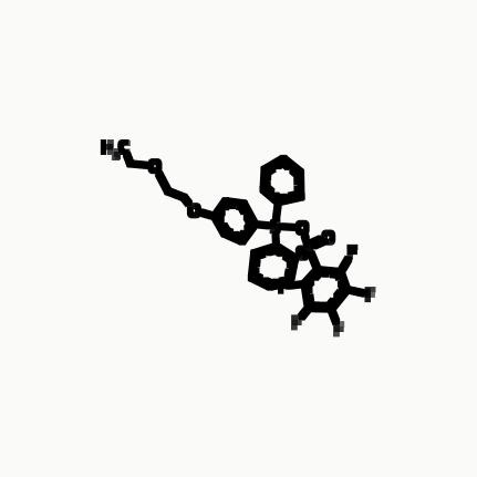 CCOCCOc1ccc(S(OS(=O)(=O)c2c(F)c(F)c(F)c(F)c2F)(c2ccccc2)c2ccccc2)cc1